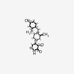 C=C1CN(c2cn[nH]c(=O)c2Cl)CCN1Cc1ccc(Cl)cc1C